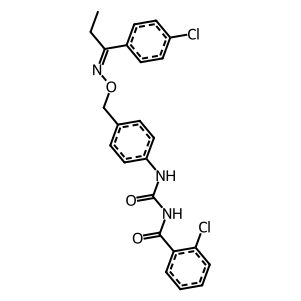 CCC(=NOCc1ccc(NC(=O)NC(=O)c2ccccc2Cl)cc1)c1ccc(Cl)cc1